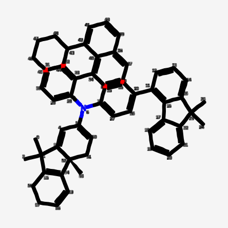 CC1(C)C2=CC(N(c3ccc(-c4cccc5c4-c4ccccc4C5(C)C)cc3)c3ccccc3-c3cccc4cccc(C5CCCCC5)c34)=CC[C@]2(C)C2=C1CCC=C2